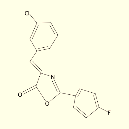 O=C1OC(c2ccc(F)cc2)=NC1=Cc1cccc(Cl)c1